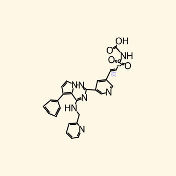 O=C(O)NS(=O)(=O)/C=C/c1cncc(-c2nc(NCc3ccccn3)c3c(-c4ccccc4)ccn3n2)c1